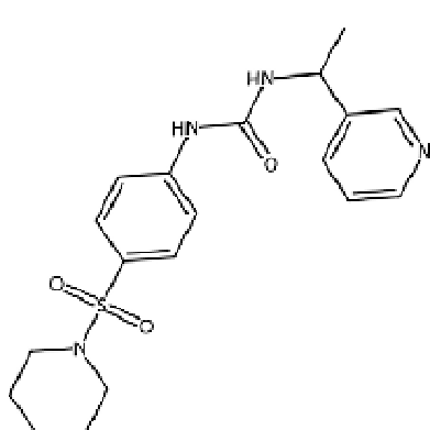 CC(NC(=O)Nc1ccc(S(=O)(=O)N2CCCCC2)cc1)c1cccnc1